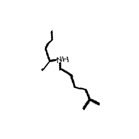 CCCC(C)NCCCCC(C)C